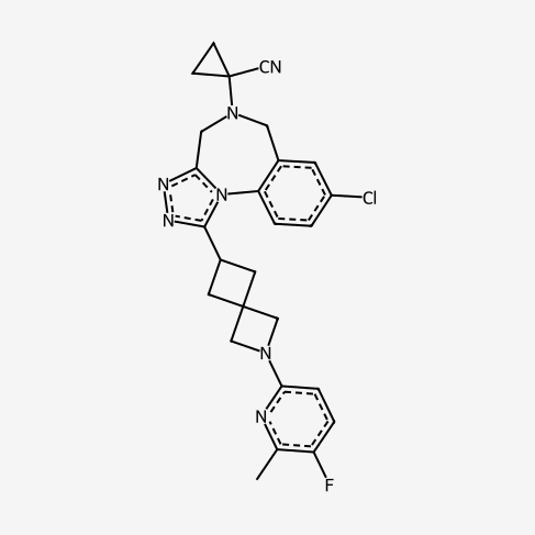 Cc1nc(N2CC3(CC(c4nnc5n4-c4ccc(Cl)cc4CN(C4(C#N)CC4)C5)C3)C2)ccc1F